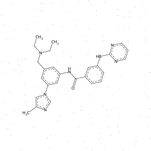 CCN(CC)Cc1cc(NC(=O)c2cccc(Bc3ncccn3)c2)cc(-n2cnc(C)c2)c1